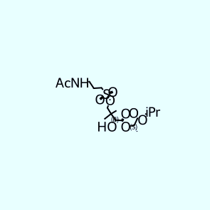 CC(=O)NCCCS(=O)(=O)OCC(C)(C)[C@@H](O)C(=O)O[C@@H](C)C(=O)OC(C)C